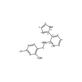 Oc1cc(F)ccc1CNc1ncccc1-c1ncc[nH]1